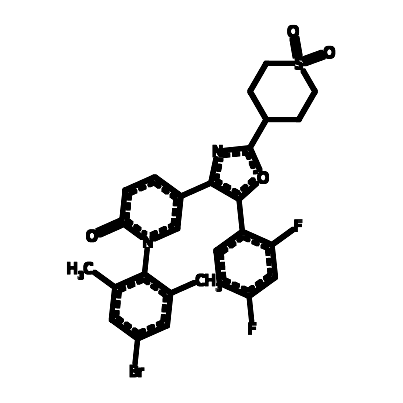 Cc1cc(Br)cc(C)c1-n1cc(-c2nc(C3CCS(=O)(=O)CC3)oc2-c2ccc(F)cc2F)ccc1=O